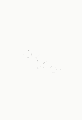 CC(C)CN(C(=O)Nc1ccc(F)c(F)c1)[C@H]1CCc2[nH]c(=O)cc(C(F)(F)F)c21